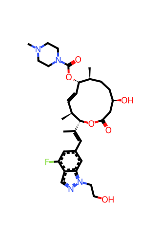 C/C(=C\c1cc(F)c2cnn(CCO)c2c1)[C@H]1OC(=O)C[C@H](O)CC[C@H](C)[C@@H](OC(=O)N2CCN(C)CC2)/C=C/[C@@H]1C